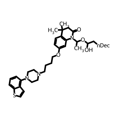 CCCCCCCCCCCC(O)OC(C)N1C(=O)CC(C)(C)c2ccc(OCCCCN3CCN(c4cccc5sccc45)CC3)cc21